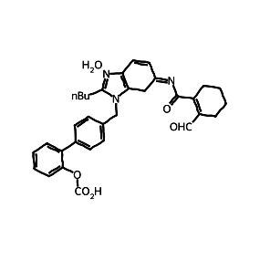 CCCCc1nc2c(n1Cc1ccc(-c3ccccc3OC(=O)O)cc1)CC(=NC(=O)C1=C(C=O)CCCC1)C=C2.O